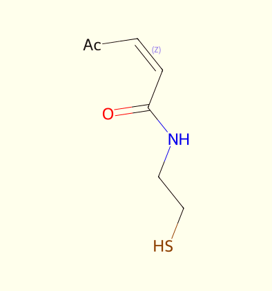 CC(=O)/C=C\C(=O)NCCS